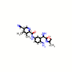 Cc1coc(C(=N)c2cc(NC(=O)c3ncc(C#N)c(C)c3C)ccc2N)n1